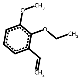 C=[C]c1cccc(OC)c1OCC